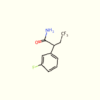 NC(=O)C(CC(F)(F)F)c1cccc(F)c1